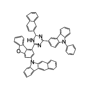 c1ccc(-n2c3ccccc3c3cc(C4=NC(c5ccc6ccccc6c5)NC(c5cc(-n6c7ccccc7c7cc8ccccc8cc76)cc6oc7ccccc7c56)=N4)ccc32)cc1